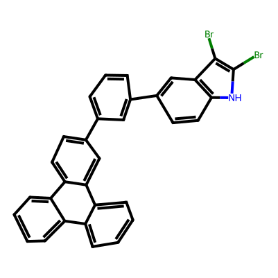 Brc1[nH]c2ccc(-c3cccc(-c4ccc5c6ccccc6c6ccccc6c5c4)c3)cc2c1Br